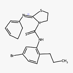 CCCc1ccc(Br)cc1NC(=S)N1CCS/C1=N/C1=CC=CCC1